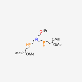 COC(CCPCCN(CCOC(C)C)CCPCCC(OC)OC)OC